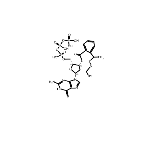 CC(C)CSSC(C)c1ccccc1C(=O)O[C@@H]1C[C@H](n2cnc3c(=O)[nH]c(N)nc32)O[C@@H]1COP(=O)(O)OP(=O)(O)OP(=O)(O)O